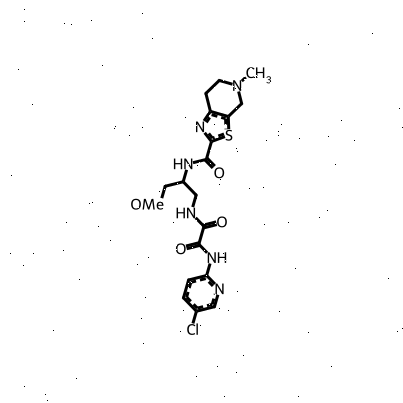 COCC(CNC(=O)C(=O)Nc1ccc(Cl)cn1)NC(=O)c1nc2c(s1)CN(C)CC2